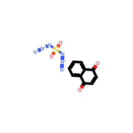 O=C1C=CC(=O)c2ccccc21.[N-]=[N+]=NS(=O)(=O)N=[N+]=[N-]